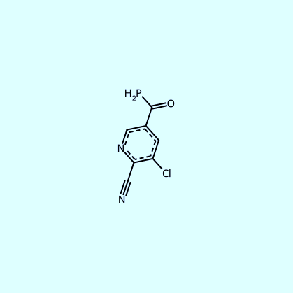 N#Cc1ncc(C(=O)P)cc1Cl